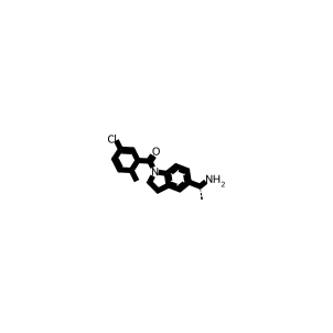 CC1C=CC(Cl)=CC1C(=O)N1CCc2cc([C@@H](C)N)ccc21